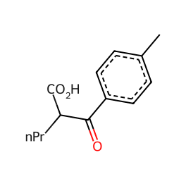 CCCC(C(=O)O)C(=O)c1ccc(C)cc1